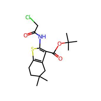 CC1(C)CCc2sc(NC(=O)CCl)c(C(=O)OC(C)(C)C)c2C1